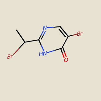 CC(Br)c1ncc(Br)c(=O)[nH]1